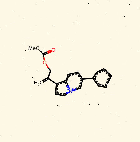 C=C(COC(=O)OC)c1ccn2cc(-c3ccccc3)ccc12